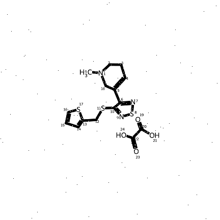 CN1CCC=C(c2nsnc2SCc2cccs2)C1.O=C(O)C(=O)O